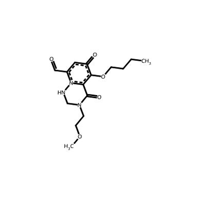 CCCCOc1c2n(c(C=O)cc1=O)NCN(CCOC)C2=O